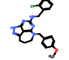 COc1ccc(CN2CCCc3n[nH]c4nc(NCc5ccccc5Cl)nc2c34)cc1